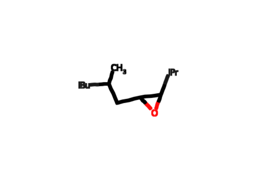 CCC(C)C(C)CC1OC1C(C)C